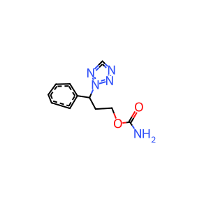 NC(=O)OCCC(c1ccccc1)n1ncnn1